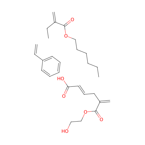 C=C(CC)C(=O)OCCCCCC.C=C(CC=CC(=O)O)C(=O)OCCO.C=Cc1ccccc1